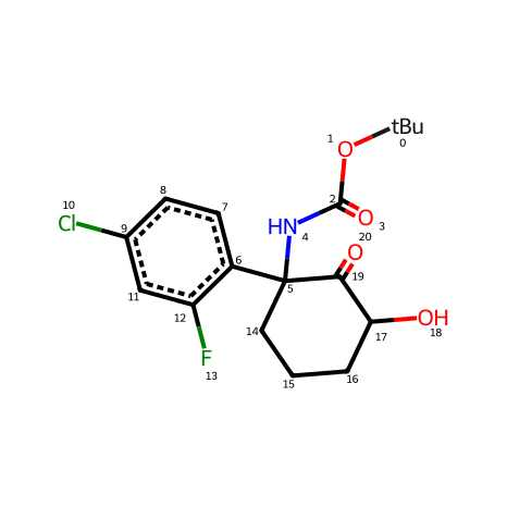 CC(C)(C)OC(=O)NC1(c2ccc(Cl)cc2F)CCCC(O)C1=O